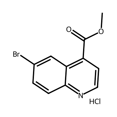 COC(=O)c1ccnc2ccc(Br)cc12.Cl